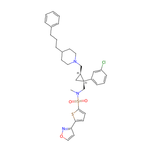 CN(C[C@@]1(c2cccc(Cl)c2)C[C@H]1CN1CCC(CCCc2ccccc2)CC1)S(=O)(=O)c1ccc(-c2ccon2)s1